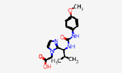 COc1ccc(NC(=O)NC(c2nccn2CC(=O)O)C(C)C)cc1